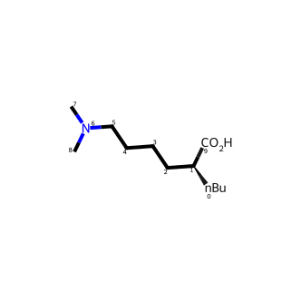 CCCC[C@@H](CCCCN(C)C)C(=O)O